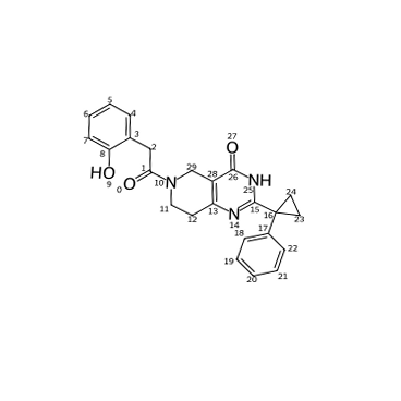 O=C(Cc1ccccc1O)N1CCc2nc(C3(c4ccccc4)CC3)[nH]c(=O)c2C1